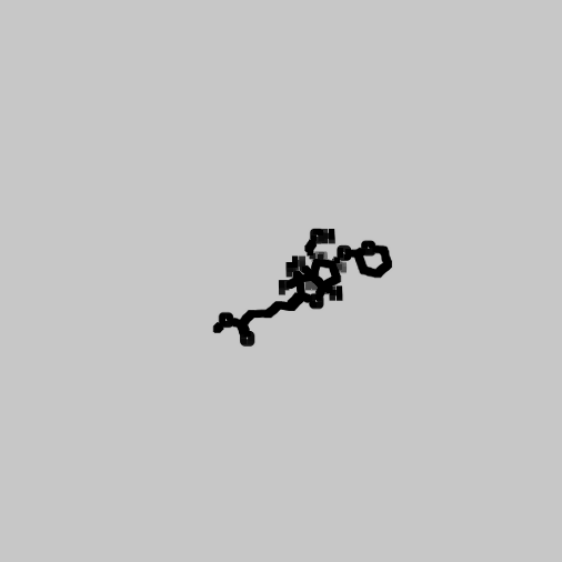 COC(=O)CCCC=C1O[C@H]2C[C@@H](OC3CCCCO3)[C@@H](CO)[C@H]2C1(F)F